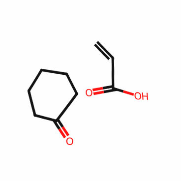 C=CC(=O)O.O=C1CCCCC1